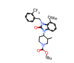 COc1cccc2c1n(Cc1ccccc1C(F)(F)F)c(=O)n2C1CCN(C(=O)OC(C)(C)C)CC1C